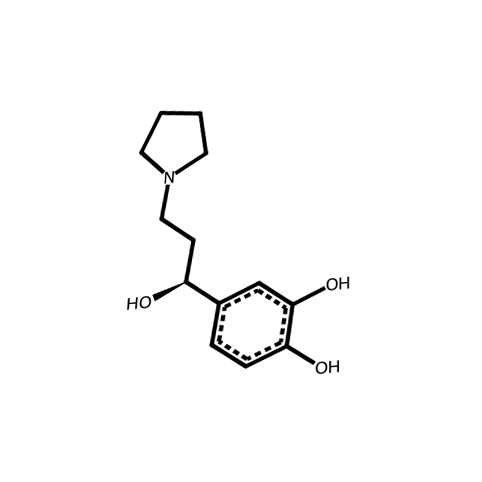 Oc1ccc([C@@H](O)CCN2CCCC2)cc1O